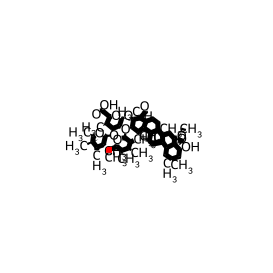 CCC1O[C@@H](OC2[C@H](O[C@H]3CCC4(C)C5CC=C6C7CC(C)(C)CC[C@]7(C(=O)O)C(OC)C[C@@]6(C)[C@@]5(C)CC[C@H]4[C@@]3(C)C=O)OC(C(=O)O)[C@@H](C)[C@@H]2O[C@@H]2O[C@@H](C)[C@H](C)C(C)C2C)C(C)[C@@H](C)[C@H]1C